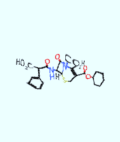 O=C(O)C1=C(C(=O)OC2CCCCC2)CS[C@H]2C(NC(=O)C(C(=O)O)c3ccccc3)C(=O)N12